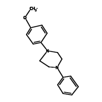 [CH2]Oc1ccc(N2CCN(c3ccccc3)CC2)cc1